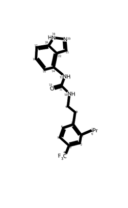 CC(C)c1cc(C(F)(F)F)ccc1CCNC(=O)Nc1cccc2[nH]ncc12